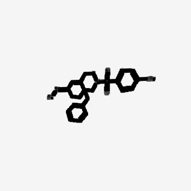 CC/N=C1/C=C2CCN(S(=O)(=O)c3ccc(C(C)(C)C)cc3)CC2(Cc2ccccc2)CC1